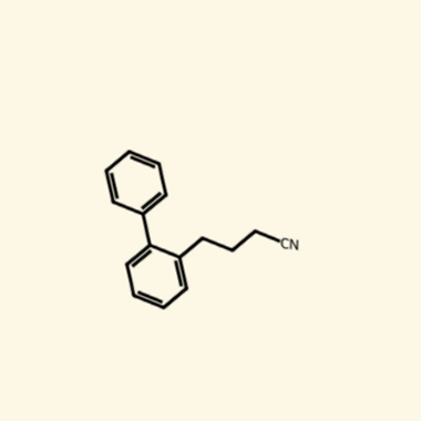 N#CCCCc1ccccc1-c1ccccc1